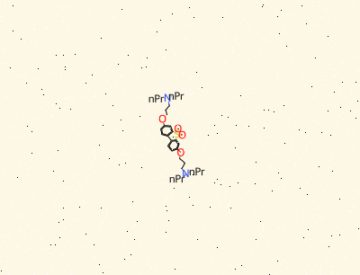 CCCN(CCC)CCCOc1ccc2c(c1)S(=O)(=O)c1cc(OCCCN(CCC)CCC)ccc1-2